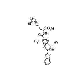 Cc1oc([C@H](CC(C)C)NC(=O)c2cc3ccccc3s2)nc1C(=O)N[C@@H](CCCNC(=N)N)C(=O)O